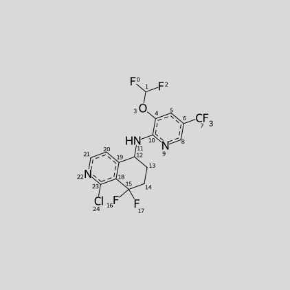 FC(F)Oc1cc(C(F)(F)F)cnc1NC1CCC(F)(F)c2c1ccnc2Cl